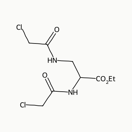 CCOC(=O)C(CNC(=O)CCl)NC(=O)CCl